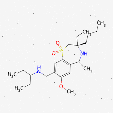 CCCC[C@]1(CC)CS(=O)(=O)c2cc(CNC(CC)CC)c(OC)cc2[C@@H](C)N1